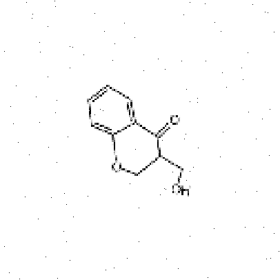 O=C1c2ccccc2OCC1CO